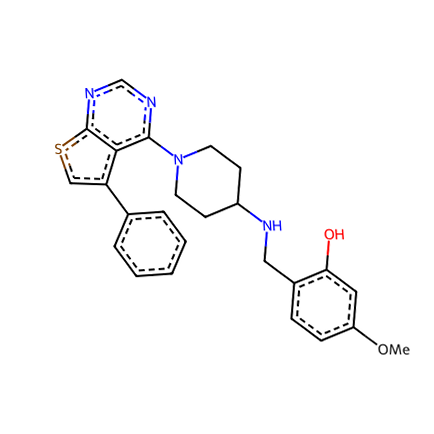 COc1ccc(CNC2CCN(c3ncnc4scc(-c5ccccc5)c34)CC2)c(O)c1